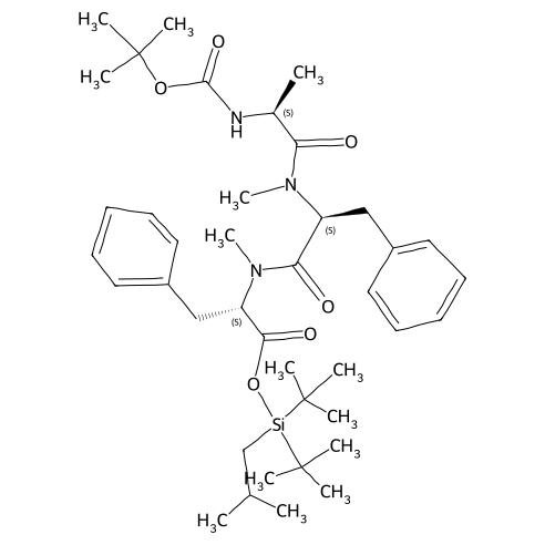 CC(C)C[Si](OC(=O)[C@H](Cc1ccccc1)N(C)C(=O)[C@H](Cc1ccccc1)N(C)C(=O)[C@H](C)NC(=O)OC(C)(C)C)(C(C)(C)C)C(C)(C)C